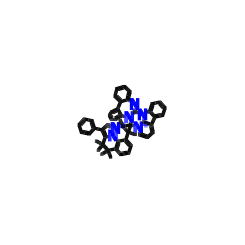 CC1(C)c2cccc3c2-n2c(c(-c4ccccc4)c[n+]2C2(C)C3(C)C23N2C(=Nc4ccccc4-c4ccccc42)n2c4ccccc4c4ccc[n+]3c42)C1(C)C